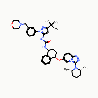 C[C@@H]1CCC[C@H](C)N1c1nnc2ccc(O[C@@H]3CC[C@H](NC(=O)Nc4cc(C(C)(C)C)nn4-c4cccc(CN5CCOCC5)c4)c4ccccc43)cn12